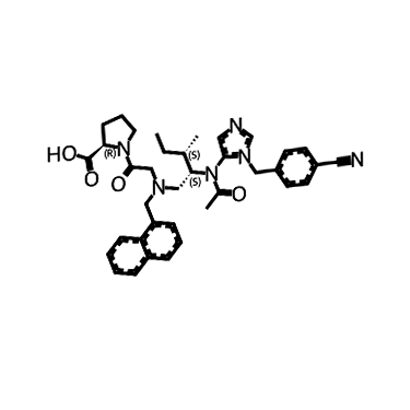 CC[C@H](C)[C@@H](CN(CC(=O)N1CCC[C@@H]1C(=O)O)Cc1cccc2ccccc12)N(C(C)=O)c1cncn1Cc1ccc(C#N)cc1